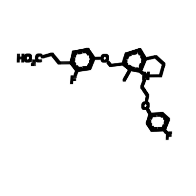 Cc1c(COc2ccc(CCC(=O)O)c(F)c2)ccc2c1N(CCOc1ccc(F)cc1)CCC2